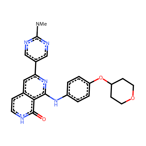 CNc1ncc(-c2cc3cc[nH]c(=O)c3c(Nc3ccc(OC4CCOCC4)cc3)n2)cn1